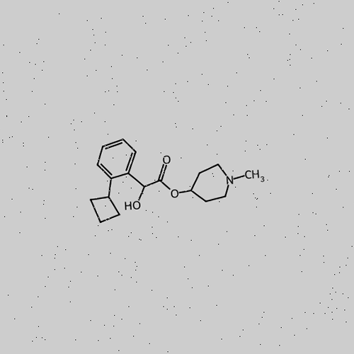 CN1CCC(OC(=O)C(O)c2ccccc2C2CCC2)CC1